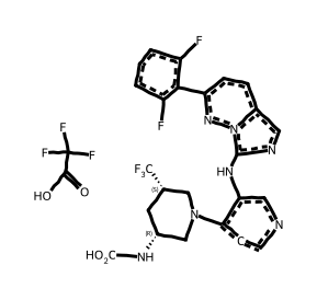 O=C(O)C(F)(F)F.O=C(O)N[C@@H]1C[C@H](C(F)(F)F)CN(c2ccncc2Nc2ncc3ccc(-c4c(F)cccc4F)nn23)C1